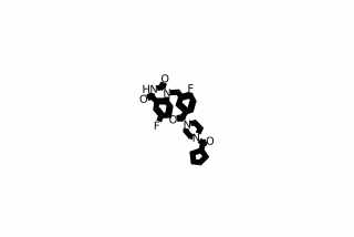 O=C(c1ccc(F)c(Cn2c(=O)[nH]c(=O)c3cc(F)ccc32)c1)N1CCN(C(=O)C2CCCC2)CC1